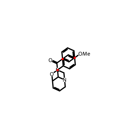 COc1ccc(CC2C3C=CCN2CN(C(=O)c2ccccc2)O3)cc1